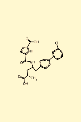 C[C@@H](CC(Cc1ccc(-c2cccc(Cl)c2)cc1)NC(=O)c1ccc(C(=O)O)[nH]1)C(=O)O